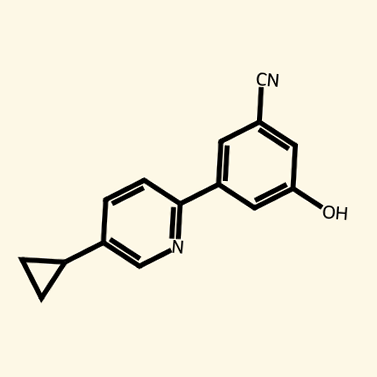 N#Cc1cc(O)cc(-c2ccc(C3CC3)cn2)c1